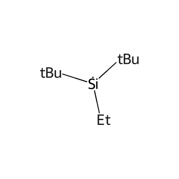 CC[Si](C(C)(C)C)C(C)(C)C